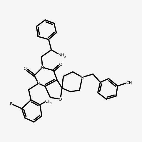 N#Cc1cccc(CN2CCC3(CC2)OCc2c3c(=O)n(CC(N)c3ccccc3)c(=O)n2Cc2c(F)cccc2C(F)(F)F)c1